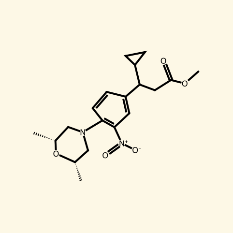 COC(=O)CC(c1ccc(N2C[C@@H](C)O[C@@H](C)C2)c([N+](=O)[O-])c1)C1CC1